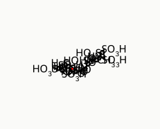 Cc1ccc(S(=O)(=O)Nc2ccc(C(=O)NC(=O)NC(=O)c3ccc(NS(=O)(=O)c4ccc(C)c(Nc5cc(S(=O)(=O)O)cc6cc(S(=O)(=O)O)cc(S(=O)(=O)O)c56)c4)c(S(=O)(=O)O)c3)cc2S(=O)(=O)O)cc1Nc1cc(S(=O)(=O)O)cc2cc(S(=O)(=O)O)cc(S(=O)(=O)O)c12